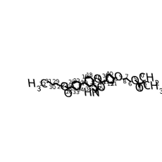 C=C(C)C(=O)OCCCOc1ccc(C(=O)Oc2ccc(-c3ccc(C(=O)OCCCCC)cc3)cc2C=N)cc1